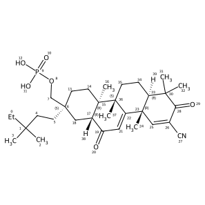 CCC(C)(C)CC[C@]1(COP(=O)(O)O)CC[C@]2(C)[C@@H](C1)C(=O)C=C1[C@@]3(C)C=C(C#N)C(=O)C(C)(C)[C@@H]3CC[C@]12C